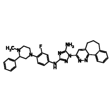 CN1CCN(c2ccc(Nc3nc(N)n(-c4cc5c(nn4)-c4ccccc4CCC5)n3)cc2F)CC1c1ccccc1